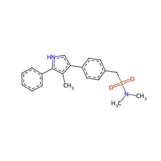 Cc1c(-c2ccc(CS(=O)(=O)N(C)C)cc2)c[nH]c1-c1ccccc1